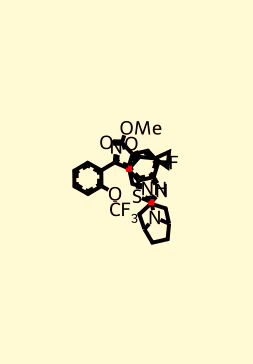 COC(=O)c1cc(F)c2nc(N3C4CCC3CC(NCc3c(-c5ccccc5OC(F)(F)F)noc3C3CC3)C4)sc2c1